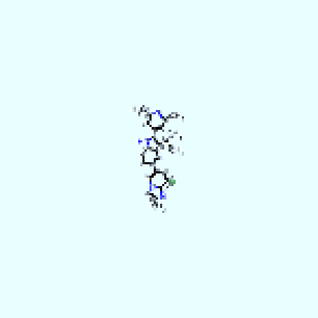 Cc1cc(-c2[nH]c3ccc(-c4cc(F)c5nc(C)cn5c4)cc3c2C(C)C)cc(C)n1